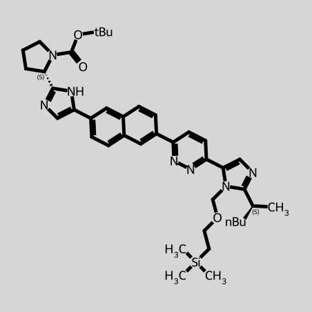 CCCC[C@H](C)c1ncc(-c2ccc(-c3ccc4cc(-c5cnc([C@@H]6CCCN6C(=O)OC(C)(C)C)[nH]5)ccc4c3)nn2)n1COCC[Si](C)(C)C